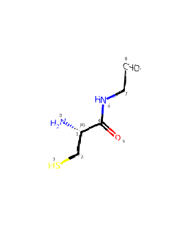 N[C@@H](CS)C(=O)NC[C]=O